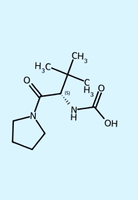 CC(C)(C)[C@H](NC(=O)O)C(=O)N1CCCC1